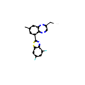 COCc1cnc2c(-c3nc4c(F)cc(F)cc4s3)cc(C)cc2n1